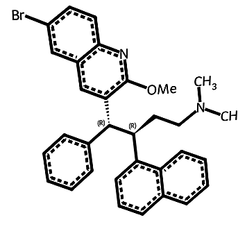 COc1nc2ccc(Br)cc2cc1[C@@H](c1ccccc1)[C@@H](CCN(C)C)c1cccc2ccccc12